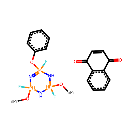 CCCO[PH]1(F)N=P(F)(Oc2ccccc2)N[PH](F)(OCCC)N1.O=C1C=CC(=O)c2ccccc21